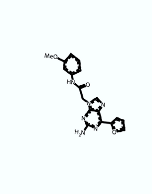 COc1cccc(NC(=O)Cn2cnc3c(-c4ccco4)nc(N)nc32)c1